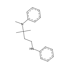 CN(c1ccccc1)C(C)(C)CCNc1ccccc1